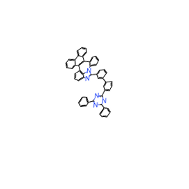 c1ccc(-c2nc(-c3ccccc3)nc(-c3cccc(-c4cccc(-c5nc6cccc7c6n5-c5ccccc5-c5c-7c6ccccc6c6ccccc56)c4)c3)n2)cc1